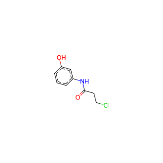 O=C(CCCl)Nc1cccc(O)c1